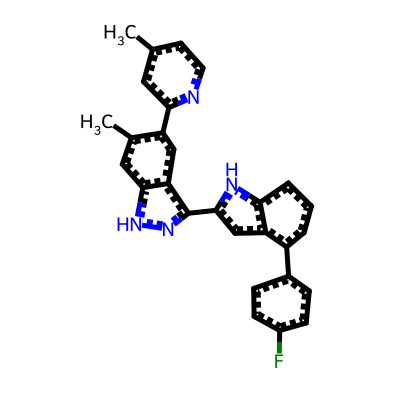 Cc1ccnc(-c2cc3c(-c4cc5c(-c6ccc(F)cc6)cccc5[nH]4)n[nH]c3cc2C)c1